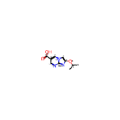 CC(C)Oc1cn2cc(C(=O)O)cnc2n1